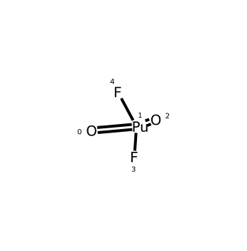 [O]=[Pu](=[O])([F])[F]